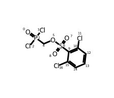 O=P(Cl)(Cl)COS(=O)(=O)c1c(Cl)cccc1Cl